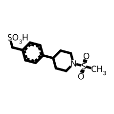 CS(=O)(=O)N1CCC(c2ccc(CS(=O)(=O)O)cc2)CC1